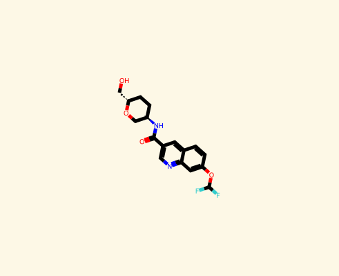 O=C(N[C@@H]1CC[C@@H](CO)OC1)c1cnc2cc(OC(F)F)ccc2c1